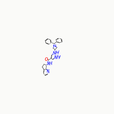 N=C/C(=C\NC1CN(C(c2ccccc2)c2ccccc2)C1)C(=O)NC1CCc2cccnc21